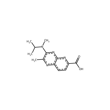 Cc1nc2ccc(C(=O)O)nc2nc1N(C)C(C)C